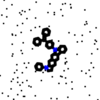 c1ccc(-n2ccc3cc4cc5c6ccccc6n(-c6ccc([SiH](c7ccccc7)c7ccccc7)cc6)c5cc4cc32)cc1